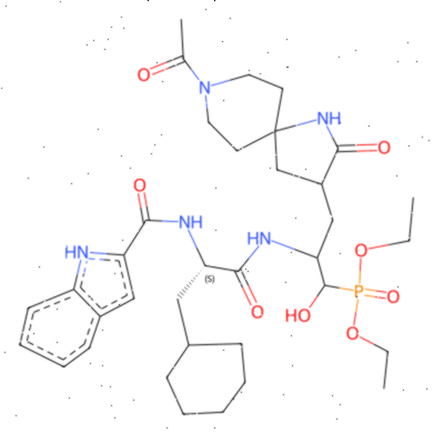 CCOP(=O)(OCC)C(O)C(CC1CC2(CCN(C(C)=O)CC2)NC1=O)NC(=O)[C@H](CC1CCCCC1)NC(=O)c1cc2ccccc2[nH]1